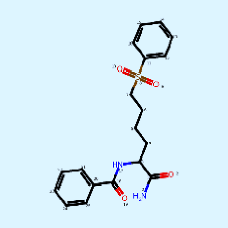 NC(=O)C(CCCCS(=O)(=O)c1ccccc1)NC(=O)c1ccccc1